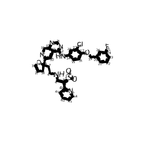 O=S(=O)=C(CNCCC1(c2cc3c(Nc4ccc(OCc5cccc(F)c5)c(Cl)c4)ncnc3cn2)CC=CO1)c1ccccn1